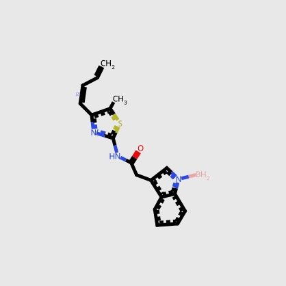 Bn1cc(CC(=O)Nc2nc(/C=C\C=C)c(C)s2)c2ccccc21